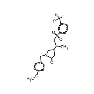 COc1ccc(CN2CC(C(C)CS(=O)(=O)c3cccc(C(F)(F)F)c3)CC2=O)cc1